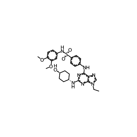 CCn1cnc2c(Nc3ccc(S(=O)(=O)Nc4ccc(OC)c(OC)c4)cc3)nc(N[C@H]3CC[C@H](O)CC3)nc21